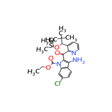 CCOC(=O)n1c(C(=O)c2ncccc2C(O[SiH](C)C)C(C)(C)C)c(N)c2ccc(Cl)cc21